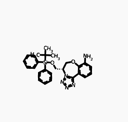 CC(C)(C)[Si](OC[C@@H]1COc2c(N)cccc2-c2nnnn21)(c1ccccc1)c1ccccc1